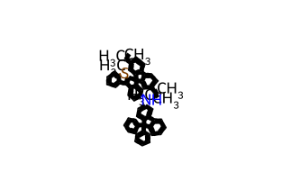 CC(C)(C)c1ccc2c(c1)C1(c3cc(C(C)(C)C)ccc3-2)c2cc(Nc3ccc4c(c3)-c3ccccc3C4(c3ccccc3)c3ccccc3)ccc2-c2c1sc1ccccc21